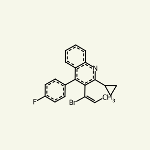 C/C=C(/Br)c1c(C2CC2)nc2ccccc2c1-c1ccc(F)cc1